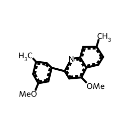 COc1cc(C)cc(-c2cc(OC)c3ccc(C)cc3n2)c1